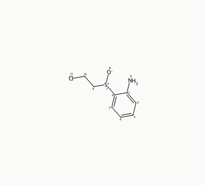 Nc1ccccc1[S+]([O-])CCCl